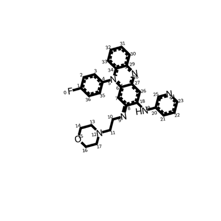 Fc1ccc(-n2c3c/c(=N\CCN4CCOCC4)c(Nc4cccnc4)cc-3nc3ccccc32)cc1